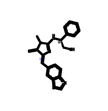 CN1C(=O)/C(=C/c2ccc3ncsc3c2)N=C1N[C@@H](CO)c1ccccc1